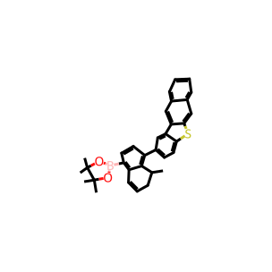 CC1CC=Cc2c(B3OC(C)(C)C(C)(C)O3)ccc(-c3ccc4sc5cc6ccccc6cc5c4c3)c21